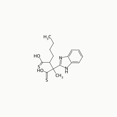 CCCCC(C(O)=S)C(C)(C(O)=S)c1nc2ccccc2[nH]1